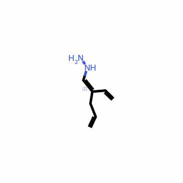 C=CC/C(C=C)=C/NN